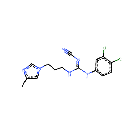 Cc1cn(CCCNC(=NC#N)Nc2ccc(Cl)c(Cl)c2)cn1